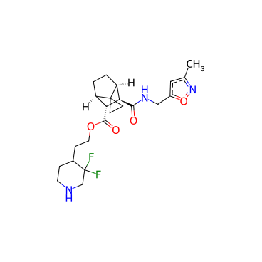 Cc1cc(CNC(=O)[C@H]2[C@H](C(=O)OCCC3CCNCC3(F)F)[C@H]3CC[C@@H]2C32CC2)on1